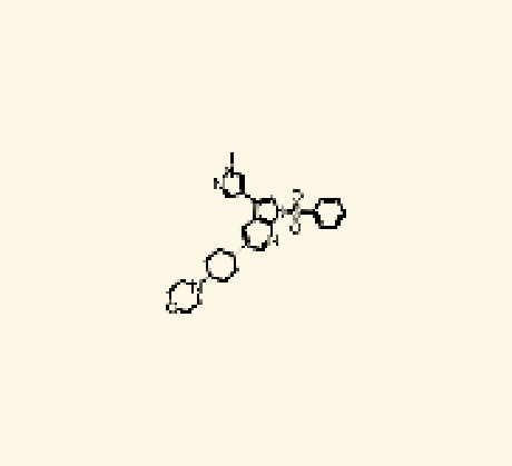 O=S(=O)(c1ccccc1)n1cc(-c2cn[nH]c2)c2cc([C@H]3CC[C@@H](N4CCOCC4)CC3)cnc21